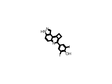 Oc1c(I)cc(-c2nc3ccc4[nH]ncc4c3c3c2CC3)cc1I